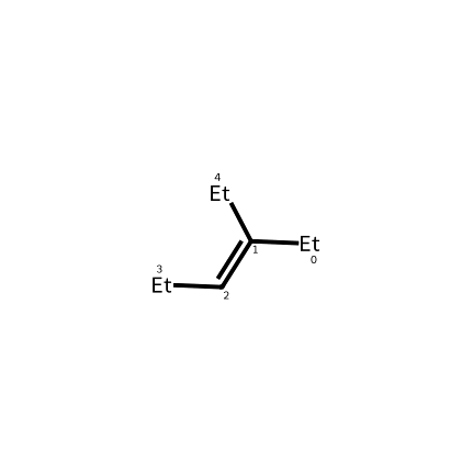 [CH2]CC(=CCC)CC